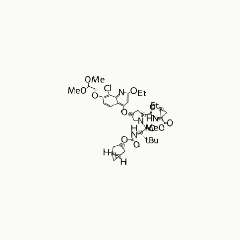 CCOc1cc(O[C@@H]2C[C@@H](C(=O)N[C@]3(C(=O)OC)C[C@H]3CC)N(C(=O)[C@@H](NC(=O)O[C@@H]3C[C@@H]4C[C@@H]4C3)C(C)(C)C)C2)c2ccc(OCC(OC)OC)c(Cl)c2n1